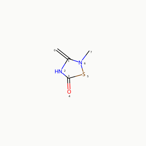 C=C1NC(=O)SN1C